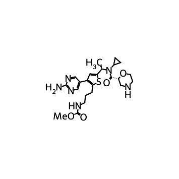 COC(=O)NCCCc1sc([C@@H](C)N(C(=O)[C@H]2CNCCO2)C2CC2)cc1-c1cnc(N)nc1